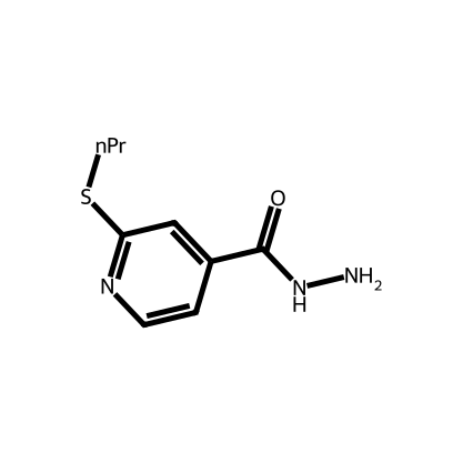 CCCSc1cc(C(=O)NN)ccn1